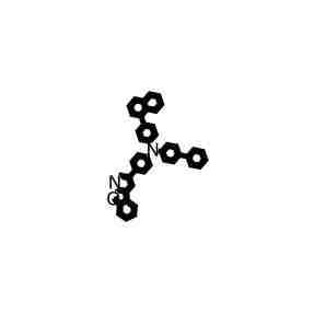 c1ccc(-c2ccc(N(c3ccc(-c4cnc5oc6ccccc6c5c4)cc3)c3ccc(-c4cccc5ccccc45)cc3)cc2)cc1